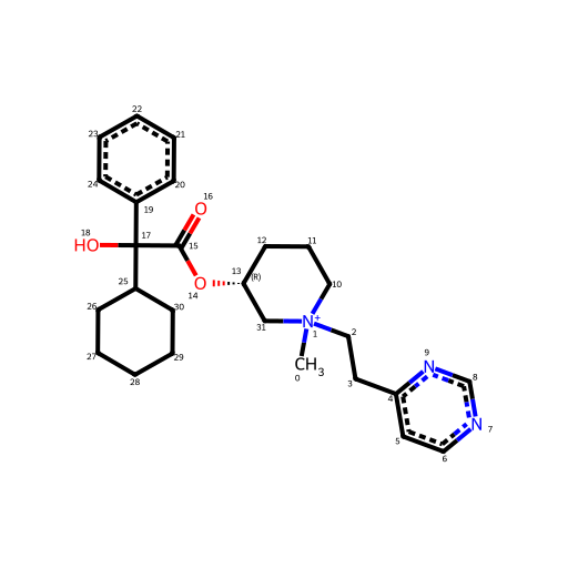 C[N+]1(CCc2ccncn2)CCC[C@@H](OC(=O)C(O)(c2ccccc2)C2CCCCC2)C1